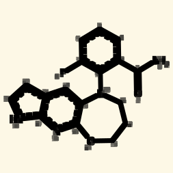 NC(=O)c1cccc(F)c1N1CCCOc2nc3[nH]ccc3cc21